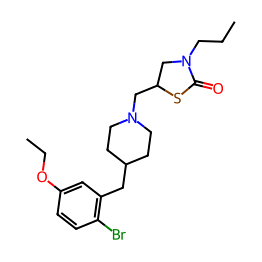 CCCN1CC(CN2CCC(Cc3cc(OCC)ccc3Br)CC2)SC1=O